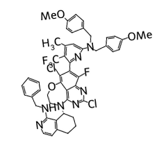 COc1ccc(CN(Cc2ccc(OC)cc2)c2cc(C)c(C(F)(F)F)c(-c3c(Cl)c4c5c(nc(Cl)nc5c3F)N([C@@H]3CCCc5ccnc(NCc6ccccc6)c53)CCO4)n2)cc1